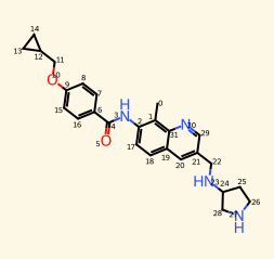 Cc1c(NC(=O)c2ccc(OCC3CC3)cc2)ccc2cc(CNC3CCNC3)cnc12